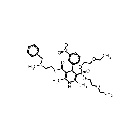 CCOCCOP(=O)(OCCOCC)C1=C(C)NC(C)=C(C(=O)OCCN(C)Cc2ccccc2)C1c1cccc([N+](=O)[O-])c1